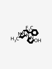 Cc1cc2n(n1)CC=C(c1ccccc1C(F)(F)F)N2c1cccc(O)n1